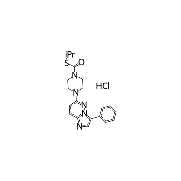 CC(C)SC(=O)N1CCN(c2ccc3ncc(-c4ccccc4)n3n2)CC1.Cl